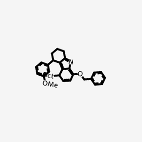 CCCCCCCCC1C=CC(OCc2ccccc2)=C2N=C3CCCC(c4cccc(OC)c4)C3=C21